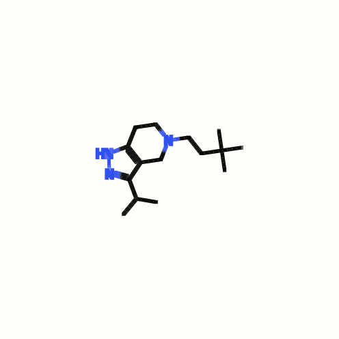 CC(C)c1n[nH]c2c1CN(CCC(C)(C)C)CC2